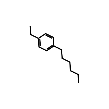 [CH2]Cc1ccc(CCCCCC)cc1